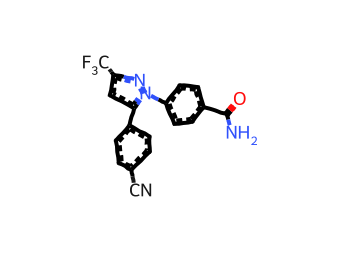 N#Cc1ccc(-c2cc(C(F)(F)F)nn2-c2ccc(C(N)=O)cc2)cc1